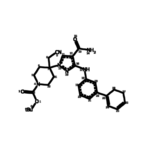 CC(C)(C)OC(=O)N1CCC(CC#N)(n2cc(C(N)=O)c(Nc3cccc(C4=CC=CCC4)c3)n2)CC1